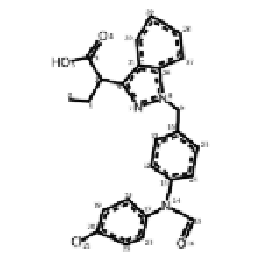 CCC(C(=O)O)c1nn(Cc2ccc(N(C=O)c3ccc(Cl)cc3)cc2)c2ccccc12